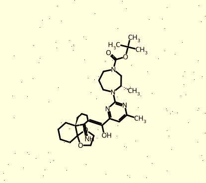 Cc1cc(/C(O)=C2\CCC[C@@]3(CCCCC34OCCO4)C2=N)nc(N2CCCN(C(=O)OC(C)(C)C)C[C@@H]2C)n1